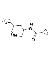 CC1[CH]C(NC(=O)C2CC2)CNC1